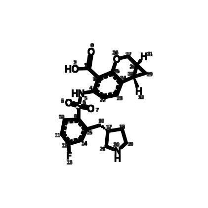 O=C(O)c1c(NS(=O)(=O)c2ccc(F)cc2C[C@@H]2CCNC2)ccc2c1OC[C@@H]1C[C@H]21